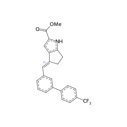 COC(=O)c1cc2c([nH]1)CC/C2=C\c1cccc(-c2ccc(C(F)(F)F)cc2)c1